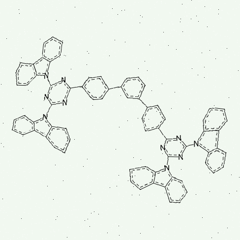 c1cc(-c2ccc(-c3nc(-n4c5ccccc5c5ccccc54)nc(-n4c5ccccc5c5ccccc54)n3)cc2)cc(-c2ccc(-c3nc(-n4c5ccccc5c5ccccc54)nc(-n4c5ccccc5c5ccccc54)n3)cc2)c1